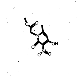 COC(=O)Cn1c(C)cc(O)c([N+](=O)[O-])c1=O